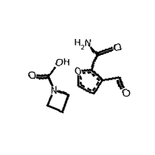 NC(=O)c1occc1C=O.O=C(O)N1CCC1